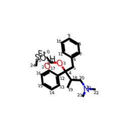 CCC(=O)OC(Cc1ccccc1)(c1ccccc1)C(C)CN(C)C.CS(=O)(=O)O